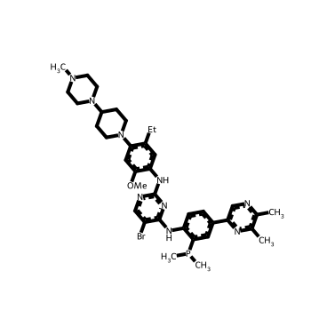 CCc1cc(Nc2ncc(Br)c(Nc3ccc(-c4cnc(C)c(C)n4)cc3P(C)C)n2)c(OC)cc1N1CCC(N2CCN(C)CC2)CC1